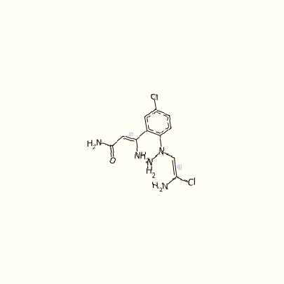 NC(=O)/C=C(\N)c1cc(Cl)ccc1N(N)/C=C(\N)Cl